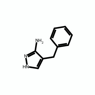 Nc1n[nH]cc1Cc1ccccc1